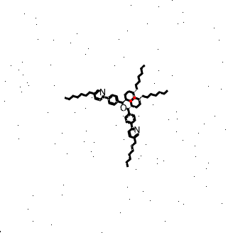 CCCCCCCc1ccc(-c2ccc(C(OC(c3ccc(-c4ccc(CCCCCCC)cn4)cc3)[C@H]3CC[C@H](CCCCCCC)CC3)[C@H]3CC[C@H](CCCCCCC)CC3)cc2)nc1